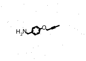 CC#CCOc1ccc(CN)cc1